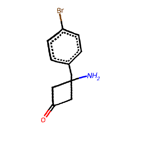 NC1(c2ccc(Br)cc2)CC(=O)C1